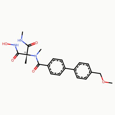 CNC(=O)[C@@](C)(C(=O)NO)N(C)C(=O)c1ccc(-c2ccc(COC)cc2)cc1